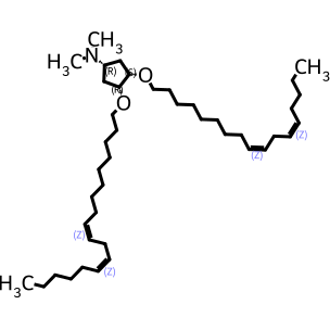 CCCC/C=C\C/C=C\CCCCCCCCO[C@H]1C[C@@H](N(C)C)C[C@H]1OCCCCCCCC/C=C\C/C=C\CCCCC